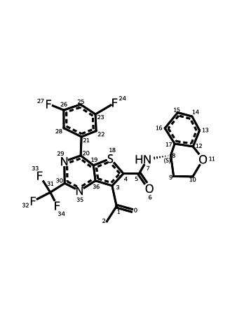 C=C(C)c1c(C(=O)N[C@H]2CCOc3ccccc32)sc2c(-c3cc(F)cc(F)c3)nc(C(F)(F)F)nc12